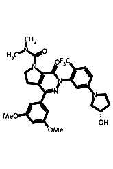 COc1cc(OC)cc(-c2nn(-c3cc(N4CC[C@H](O)C4)ccc3C(F)(F)F)c(=O)c3c2CCN3C(=O)N(C)C)c1